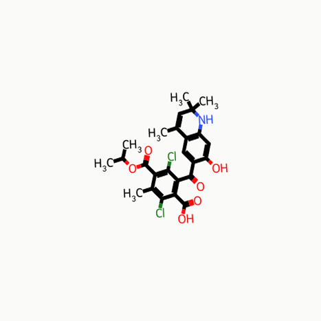 CC1=CC(C)(C)Nc2cc(O)c(C(=O)c3c(Cl)c(C(=O)OC(C)C)c(C)c(Cl)c3C(=O)O)cc21